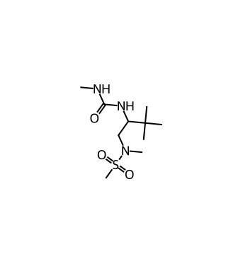 CNC(=O)NC(CN(C)S(C)(=O)=O)C(C)(C)C